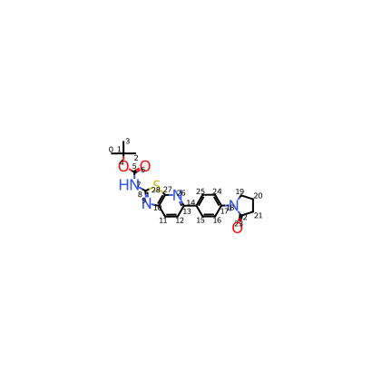 CC(C)(C)OC(=O)Nc1nc2ccc(-c3ccc(N4CCCC4=O)cc3)nc2s1